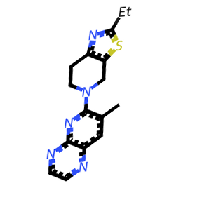 CCc1nc2c(s1)CN(c1nc3nccnc3cc1C)CC2